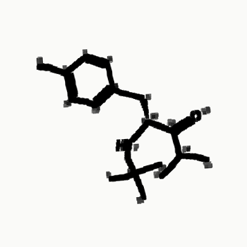 Cc1ccc(C[C@@H](NC(C)(C)C)C(=O)C(C)C)cc1